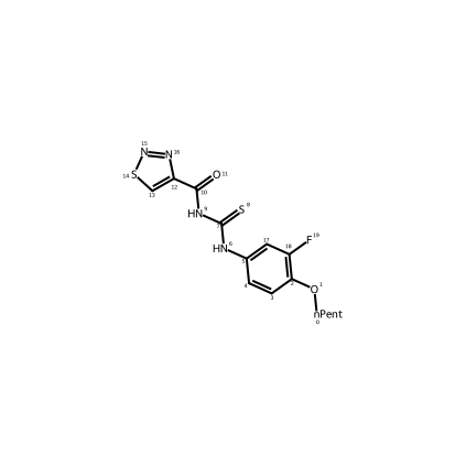 CCCCCOc1ccc(NC(=S)NC(=O)c2csnn2)cc1F